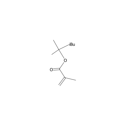 C=C(C)C(=O)OC(C)(C)C(C)CC